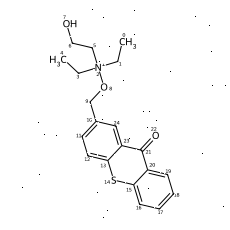 CC[N+](CC)(CCO)OCc1ccc2sc3ccccc3c(=O)c2c1